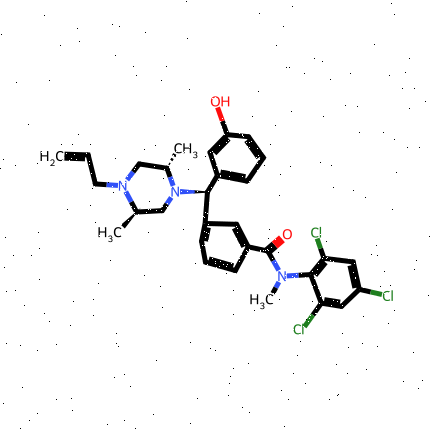 C=CCN1C[C@H](C)N([C@@H](c2cccc(O)c2)c2cccc(C(=O)N(C)c3c(Cl)cc(Cl)cc3Cl)c2)C[C@H]1C